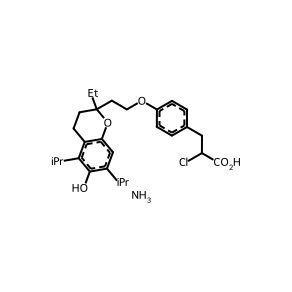 CCC1(CCOc2ccc(CC(Cl)C(=O)O)cc2)CCc2c(cc(C(C)C)c(O)c2C(C)C)O1.N